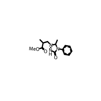 COC(=O)C(C)CN1NC(=O)N(c2ccccc2)C1C